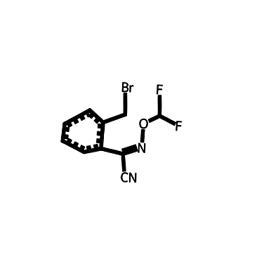 N#C/C(=N/OC(F)F)c1ccccc1CBr